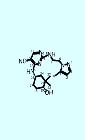 Cc1ccnn1CCNc1ncc(C#N)c(N[C@@H]2CC[C@H](O)C(C)(C)C2)n1